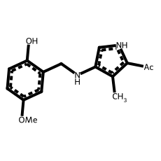 COc1ccc(O)c(CNc2c[nH]c(C(C)=O)c2C)c1